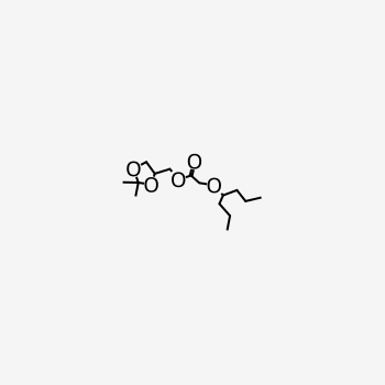 CCCC(CCC)OCC(=O)OCC1COC(C)(C)O1